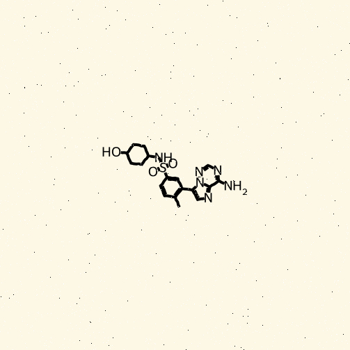 Cc1ccc(S(=O)(=O)NC2CCC(O)CC2)cc1-c1cnc2c(N)ncnn12